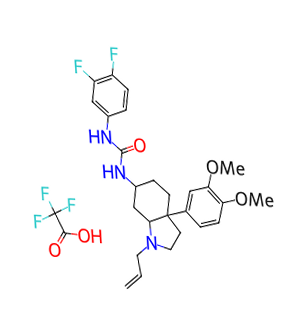 C=CCN1CCC2(c3ccc(OC)c(OC)c3)CCC(NC(=O)Nc3ccc(F)c(F)c3)CC12.O=C(O)C(F)(F)F